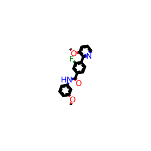 COc1cccc(NC(=O)c2ccc(-c3ncccc3OC)c(F)c2)c1